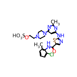 Cc1nc(Nc2ncc(C(=O)Nc3c(C)cccc3Cl)s2)cc(N2CCN(CCOS(=O)(=O)O)CC2)n1